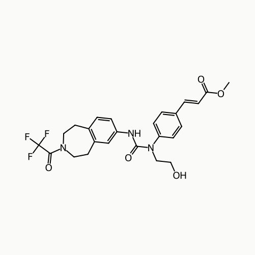 COC(=O)/C=C/c1ccc(N(CCO)C(=O)Nc2ccc3c(c2)CCN(C(=O)C(F)(F)F)CC3)cc1